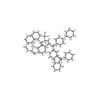 CC1(C)c2ccc3ccc4c5c3c2-c2c1cc(N(c1ccc(-c3ccccc3)cc1)c1ccc3c6ccccc6n(-c6ccccc6)c3c1)c1ccc3c(c21)C5C(C=C4)S3